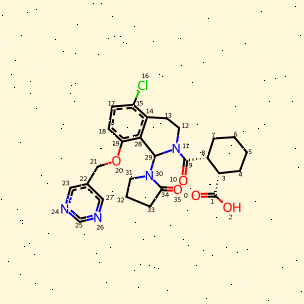 O=C(O)[C@H]1CCCC[C@H]1C(=O)N1CCc2c(Cl)ccc(OCc3cncnc3)c2C1N1CCCC1=O